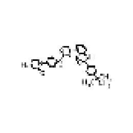 CC(C)(C)c1ccc(C(=O)Nc2cccc(-c3ccnc(Nc4ccc(N5CC[SH2]CC5=O)cc4)n3)c2F)cc1